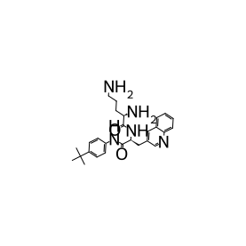 CC(C)(C)c1ccc(NC(=O)[C@H](Cc2cnc3ccccc3c2)NC(=O)[C@H](N)CCCN)cc1